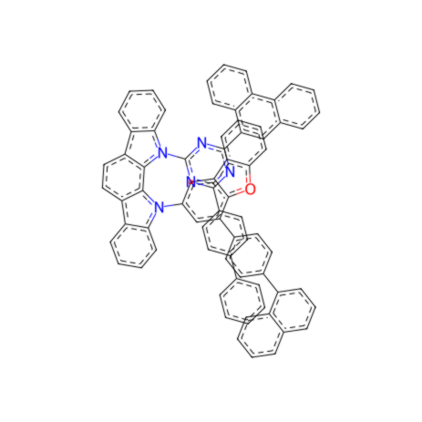 c1ccc(-c2ccc(-c3nc(-c4cc5ccccc5c5ccccc45)nc(-n4c5ccccc5c5ccc6c7ccccc7n(-c7cc(-c8ccc(-c9cccc%10ccccc9%10)cc8)c8oc9ccccc9c8c7)c6c54)n3)cc2)cc1